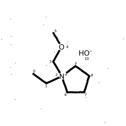 CC[N+]1(COC)CCCC1.[OH-]